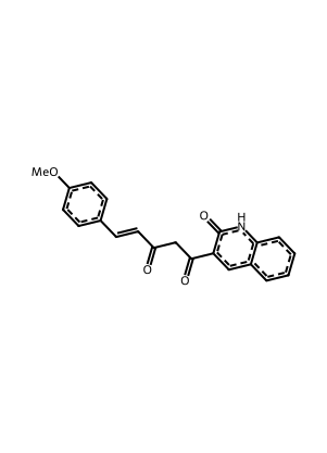 COc1ccc(C=CC(=O)CC(=O)c2cc3ccccc3[nH]c2=O)cc1